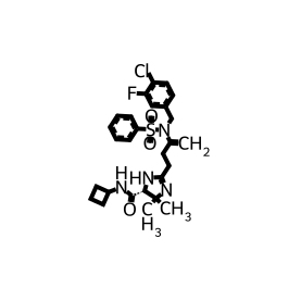 C=C(CCC1=NC(C)(C)[C@H](C(=O)NC2CCC2)N1)N(Cc1ccc(Cl)c(F)c1)S(=O)(=O)c1ccccc1